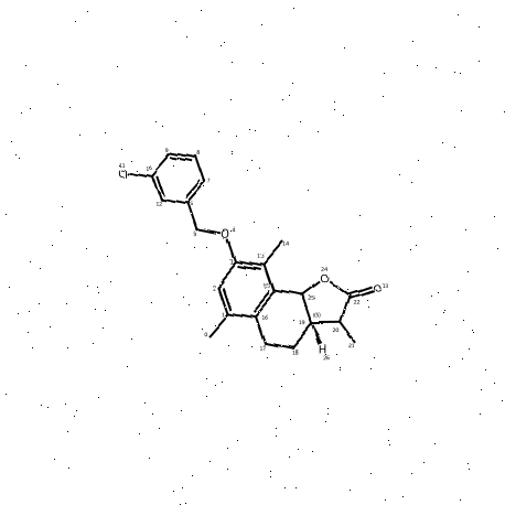 Cc1cc(OCc2cccc(Cl)c2)c(C)c2c1CC[C@H]1C(C)C(=O)OC21